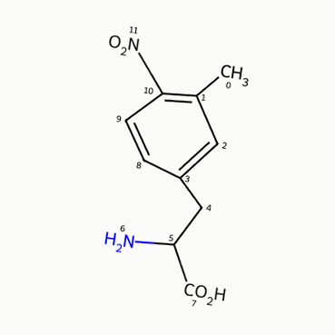 Cc1cc(CC(N)C(=O)O)ccc1[N+](=O)[O-]